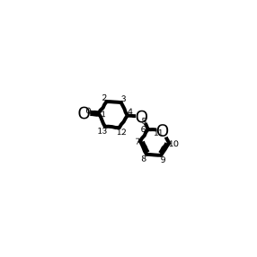 O=C1CCC(OC2C=CC=CO2)CC1